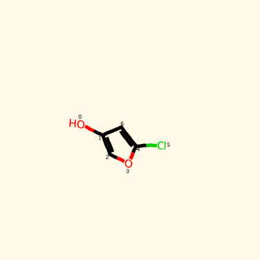 Oc1coc(Cl)c1